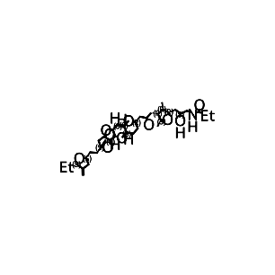 C=C1C[C@H](CC[C@@]23CC4OC5C(O[C@H]6CC[C@H](CC(=O)C[C@@H]7[C@@H](C)[C@@H](C[C@H](O)CNC(=O)CC)O[C@H]7C)O[C@@H]6[C@@H]5O2)[C@H]4O3)O[C@H]1CC